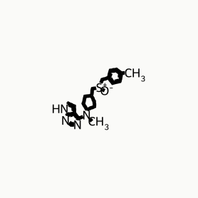 Cc1ccc(C[S+]([O-])CC2CCC(N(C)c3ncnc4[nH]ccc34)CC2)cc1